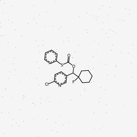 O=C(OC(c1ccc(Cl)nc1)C1(F)CCCCC1)Sc1ccccc1